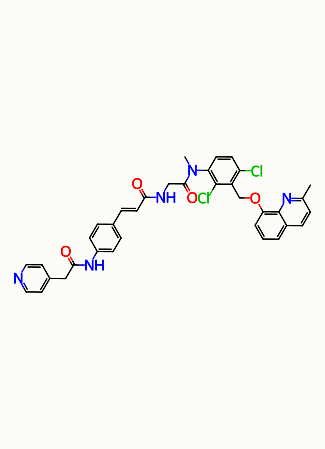 Cc1ccc2cccc(OCc3c(Cl)ccc(N(C)C(=O)CNC(=O)/C=C/c4ccc(NC(=O)Cc5ccncc5)cc4)c3Cl)c2n1